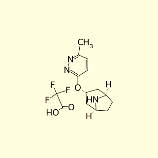 Cc1ccc(O[C@@H]2C[C@H]3CC[C@@H](C2)N3)nn1.O=C(O)C(F)(F)F